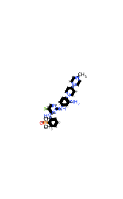 CN1CCN(C2CCN(c3ccc(Nc4ncc(F)c(Nc5ccccc5P(C)(C)=O)n4)cc3N)CC2)CC1